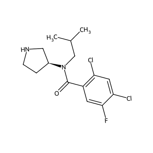 CC(C)CN(C(=O)c1cc(F)c(Cl)cc1Cl)[C@H]1CCNC1